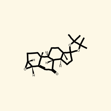 CC1(C)OC2(CC[C@H]3[C@@H]4C(=O)C=C5[C@@H]6O[C@@H]6CC[C@]5(C)[C@H]4CC[C@@]32C)OC1(C)C